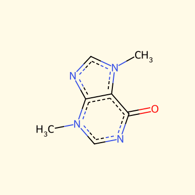 Cn1cnc(=O)c2c1ncn2C